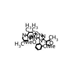 COc1cccc(OC)c1-n1c(NS(=O)(=O)C(C)C(C)c2ncc(C)cn2)nnc1[C@@H]1CCO[C@@H]1C